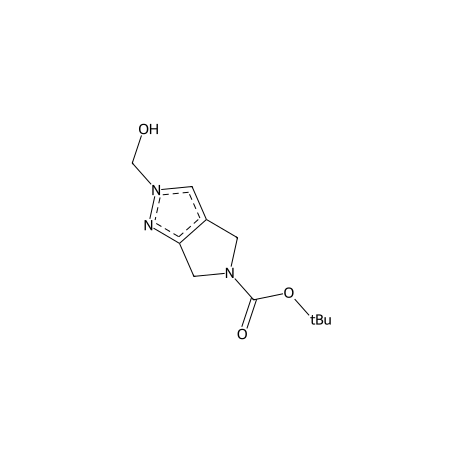 CC(C)(C)OC(=O)N1Cc2cn(CO)nc2C1